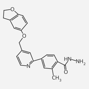 Cc1cc(-c2cc(COc3ccc4c(c3)CCO4)ccn2)ccc1C(=O)NN